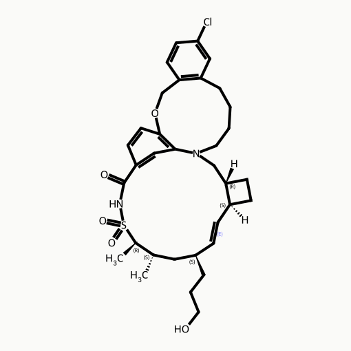 C[C@@H]1[C@@H](C)C[C@H](CCCO)/C=C/[C@@H]2CC[C@H]2CN2CCCCc3cc(Cl)ccc3COc3ccc(cc32)C(=O)NS1(=O)=O